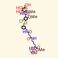 COC(=O)[C@H](CCCCNC(=O)CCC(=O)NCc1cccc(COc2cc(OC)c(C(=O)N[C@H]3[C@@H](OC)O[C@H](CO)[C@@H](O)[C@@H]3O)cc2Cl)c1)NC(=O)OC(C)(C)C